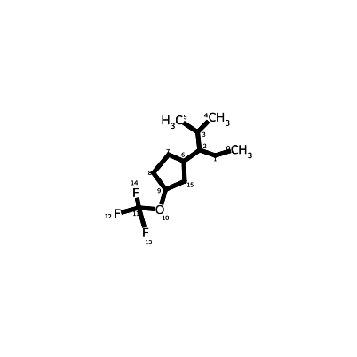 CCC(C(C)C)C1CCC(OC(F)(F)F)C1